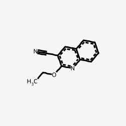 CCOc1nc2ccccc2cc1C#N